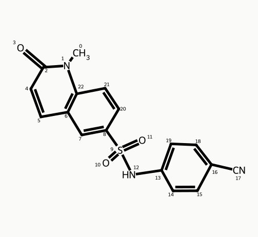 Cn1c(=O)ccc2cc(S(=O)(=O)Nc3ccc(C#N)cc3)ccc21